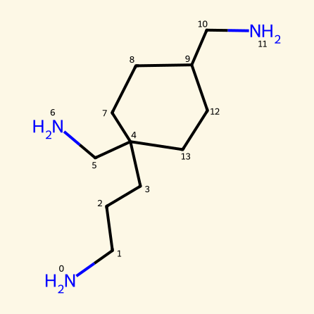 NCCCC1(CN)CCC(CN)CC1